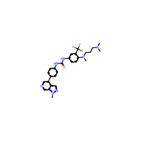 CN(C)CCCN(C)c1ccc(NC(=O)Nc2ccc(-c3cncc4c3cnn4C)cc2)cc1C(F)(F)F